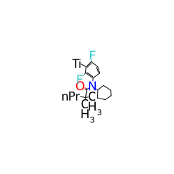 CCCC(C)(C)C(=O)N(c1ccc(F)[c]([Ti])c1F)C1CCCCC1